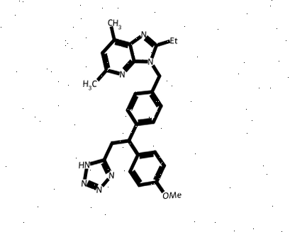 CCc1nc2c(C)cc(C)nc2n1Cc1ccc(C(Cc2nnn[nH]2)c2ccc(OC)cc2)cc1